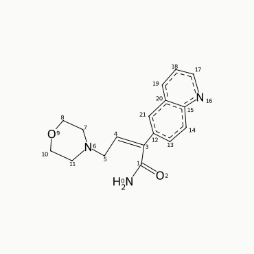 NC(=O)C(=CCN1CCOCC1)c1ccc2ncccc2c1